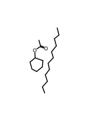 CC(=O)OC1CCCCC1.CCCCCCCCCCCC